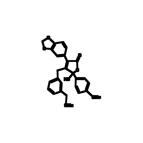 COCc1cccc(CC2=C(c3ccc4c(c3)OCO4)C(=O)OC2(O)c2ccc(OC)cc2)c1